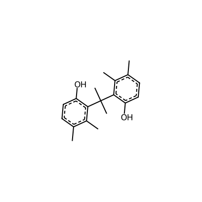 Cc1ccc(O)c(C(C)(C)c2c(O)ccc(C)c2C)c1C